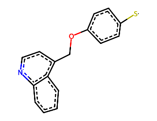 [S]c1ccc(OCc2ccnc3ccccc23)cc1